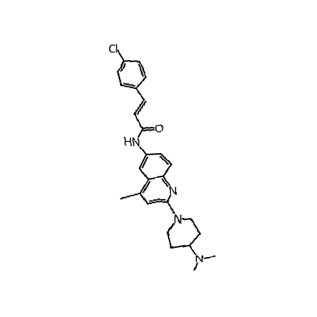 Cc1cc(N2CCC(N(C)C)CC2)nc2ccc(NC(=O)C=Cc3ccc(Cl)cc3)cc12